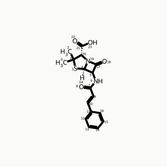 CC1(C)S[C@@H]2C(NC(=O)/C=C/c3ccccc3)C(=O)N2[C@H]1C(=O)O